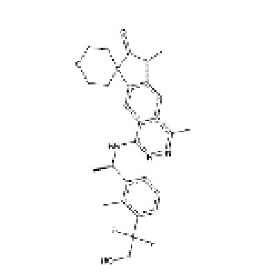 Cc1c([C@@H](C)Nc2nnc(C)c3cc4c(cc23)C2(CCOCC2)C(=O)N4C)cccc1C(F)(F)CO